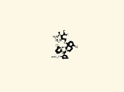 CN(N)/C(=C(\N)COc1ccc(Cl)c2c1[C@@H](CN1CCCC1=O)N(C(=O)[C@H]1CCC[C@H]1C(=O)O)CC2)C(F)F